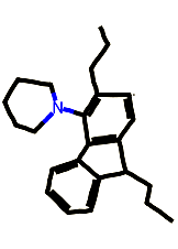 CCCc1[c]cc2c(c1N1CCCCC1)-c1ccccc1C2CCC